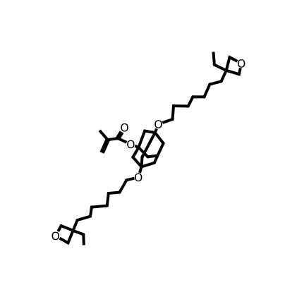 C=C(C)C(=O)OC12CC3CC(OCCCCCCCC4(CC)COC4)(CC(OCCCCCCCC4(CC)COC4)(C3)C1)C2